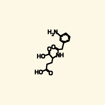 Nc1cccc(CC(=O)NC(CCC(=O)O)C(=O)O)c1